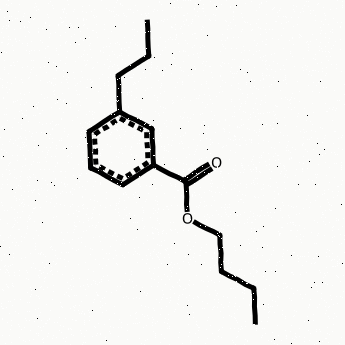 CCCCOC(=O)c1cccc(CCC)c1